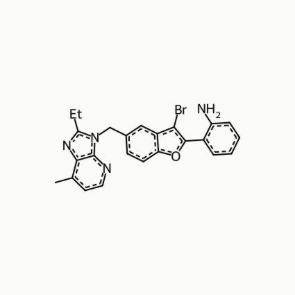 CCc1nc2c(C)ccnc2n1Cc1ccc2oc(-c3ccccc3N)c(Br)c2c1